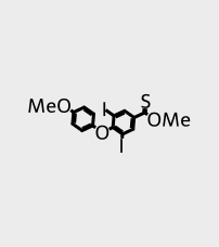 COC(=S)c1cc(I)c(Oc2ccc(OC)cc2)c(I)c1